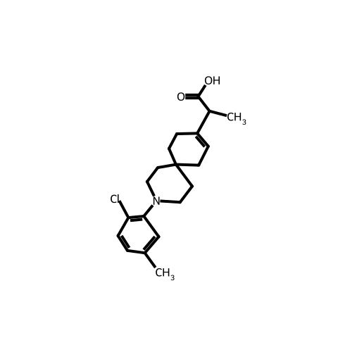 Cc1ccc(Cl)c(N2CCC3(CC=C(C(C)C(=O)O)CC3)CC2)c1